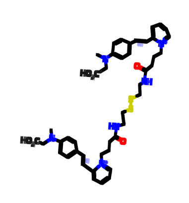 CN(CC(=O)O)c1ccc(/C=C/c2cccc[n+]2CCCC(=O)NCCSSCCNC(=O)CCC[n+]2ccccc2/C=C/c2ccc(N(C)CC(=O)O)cc2)cc1